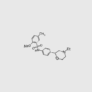 CCN1CCOC(c2ccc(NS(=O)(=O)c3cc(C)ccc3OC)cc2)C1